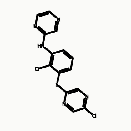 Clc1cnc(Sc2cccc(Nc3cnccn3)c2Cl)cn1